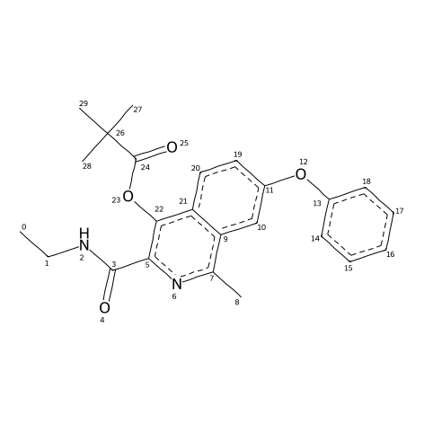 CCNC(=O)c1nc(C)c2cc(Oc3ccccc3)ccc2c1OC(=O)C(C)(C)C